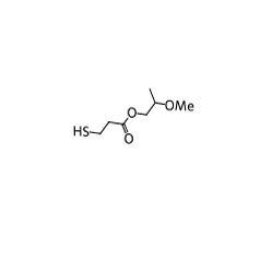 COC(C)COC(=O)CCS